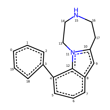 c1ccc(-c2cccc3cc4n(c23)CCNCC4)cc1